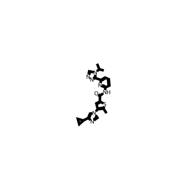 Cc1sc(C(=O)Nc2cccc(-c3nncn3C(C)C)n2)cc1-n1cnc(C2CC2)c1